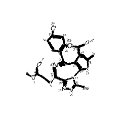 COC(=O)C[C@@H]1N=C(c2ccc(Cl)cc2)c2c(sc(C)c2C(=O)O)-n2c(C)nnc21